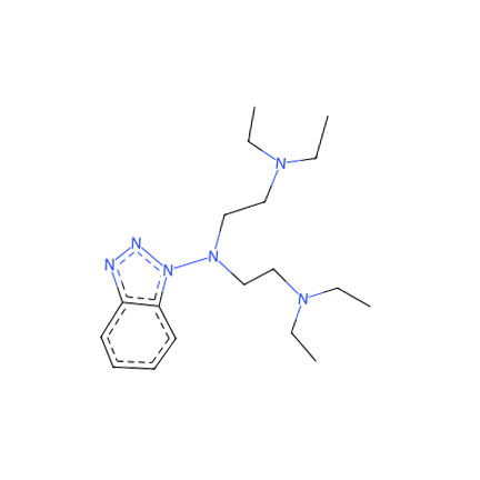 CCN(CC)CCN(CCN(CC)CC)n1nnc2ccccc21